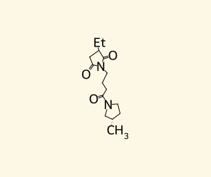 CCC1CC(=O)N(CCCC(=O)N2CC[C@H](C)C2)C1=O